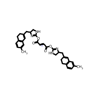 Cc1ccc2c(c1)C=C(CC1CNC(OC(=O)/C=C/C(=O)OC3=NC(CC4=Cc5cc(C)ccc5CC4)CN3)=N1)CC2